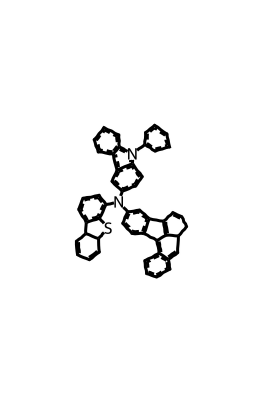 C1=CC2Sc3c(cccc3N(c3ccc4c(c3)C3=C5C4=c4ccccc4=CC5CC=C3)c3ccc4c(c3)c3ccccc3n4-c3ccccc3)C2C=C1